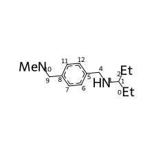 CCC(CC)NCc1ccc(CNC)cc1